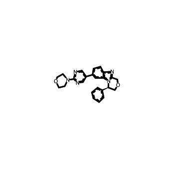 c1ccc([C@@H]2COCc3nc4ccc(-c5cnc(N6CCOCC6)nc5)cc4n32)cc1